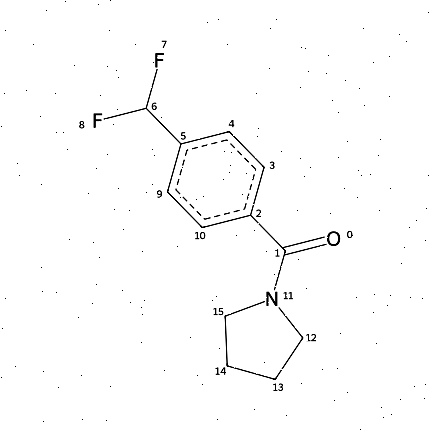 O=C(c1ccc(C(F)F)cc1)N1CCCC1